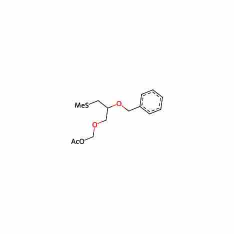 CSCC(COCOC(C)=O)OCc1ccccc1